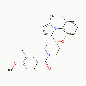 Cc1cc(C(=O)N2CCC3(CC2)Oc2cccc(C)c2-n2c(C#N)ccc23)ccc1OC(C)C